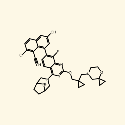 C#Cc1c(Cl)ccc2cc(O)cc(-c3ccc4c(N5CC6CCC(C5)N6)nc(OCC5(CN6CCOC7(CC7)C6)CC5)nc4c3F)c12